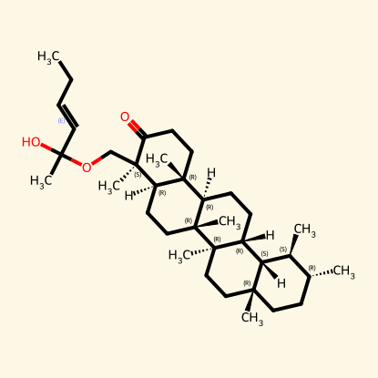 CC/C=C/C(C)(O)OC[C@@]1(C)C(=O)CC[C@@]2(C)[C@H]1CC[C@]1(C)[C@@H]2CC[C@@H]2[C@@H]3[C@@H](C)[C@H](C)CC[C@]3(C)CC[C@]21C